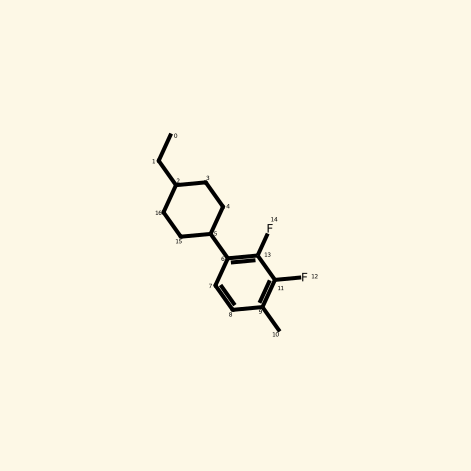 CCC1CCC(c2ccc(C)c(F)c2F)CC1